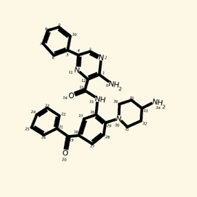 Nc1ncc(-c2ccccc2)nc1C(=O)Nc1cc(C(=O)c2ccccc2)ccc1N1CCC(N)CC1